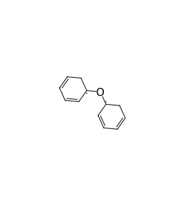 C1=CC[C](O[C]2C=CC=CC2)C=C1